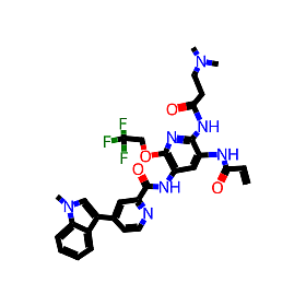 C=CC(=O)Nc1cc(NC(=O)c2cc(-c3cn(C)c4ccccc34)ccn2)c(OCC(F)(F)F)nc1NC(=O)CCN(C)C